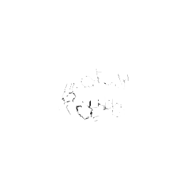 NC1(CNc2nc(-c3cc(N[C@H]4CC[C@H](NCCOC(F)(F)F)CC4)ncc3Cl)ccc2F)CCOCC1